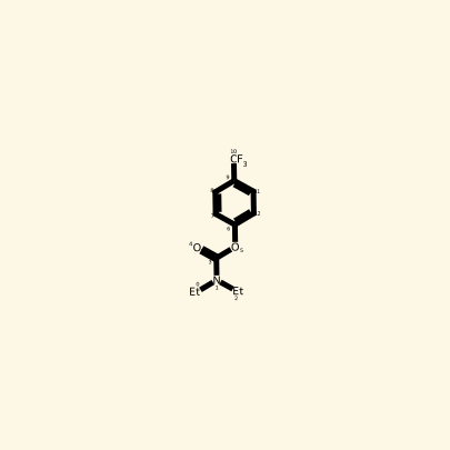 CCN(CC)C(=O)Oc1ccc(C(F)(F)F)cc1